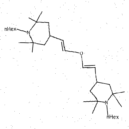 CCCCCCN1C(C)(C)CC(C=COC=CC2CC(C)(C)N(CCCCCC)C(C)(C)C2)CC1(C)C